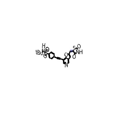 CC(C)(C)NS(=O)(=O)c1ccc(C#Cc2cncc3cc(/C=C4/SC(=O)NC4=O)oc23)cc1